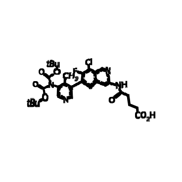 Cc1c(-c2cc3cc(NC(=O)CCCC(=O)O)ncc3c(Cl)c2F)cncc1N(C(=O)OC(C)(C)C)C(=O)OC(C)(C)C